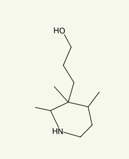 CC1CCNC(C)C1(C)CCCO